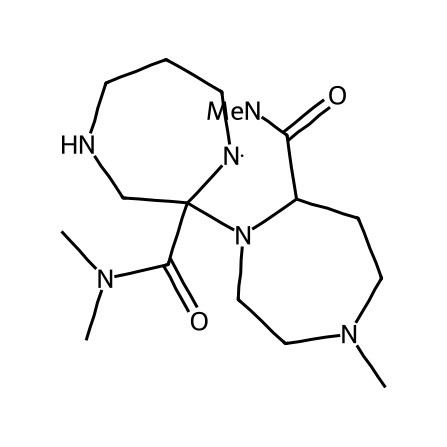 CNC(=O)C1CCN(C)CCN1C1(C(=O)N(C)C)CNCCC[N]1